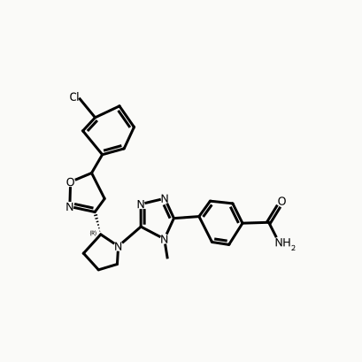 Cn1c(-c2ccc(C(N)=O)cc2)nnc1N1CCC[C@@H]1C1=NOC(c2cccc(Cl)c2)C1